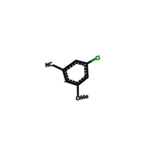 COc1[c]c(C#N)cc(Cl)c1